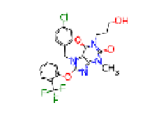 Cn1c(=O)n(CCCO)c(=O)c2c1nc(Oc1ccccc1C(F)(F)F)n2Cc1ccc(Cl)cc1